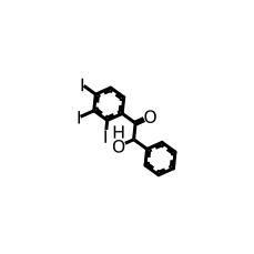 O=C(c1ccc(I)c(I)c1I)C(O)c1ccccc1